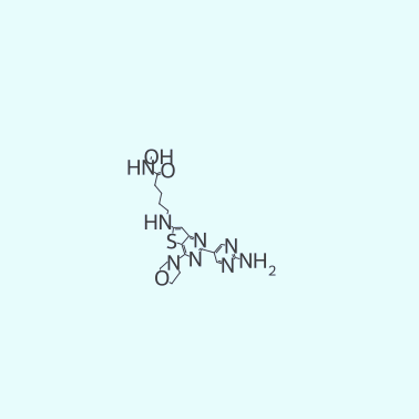 Nc1ncc(-c2nc(N3CCOCC3)c3sc(NCCCCC(=O)NO)cc3n2)cn1